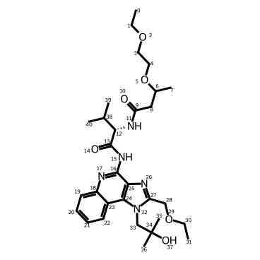 CCOCCOC(C)CC(=O)N[C@H](C(=O)Nc1nc2ccccc2c2c1nc(COCC)n2CC(C)(C)O)C(C)C